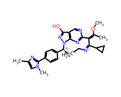 CC/N=C(\C(=C(/C)OC)c1ncc2c(O)nn([C@@H](C)c3ccc(-c4nc(C)cn4C)cc3)c2n1)C1CC1